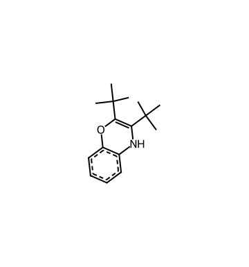 CC(C)(C)C1=C(C(C)(C)C)Oc2ccccc2N1